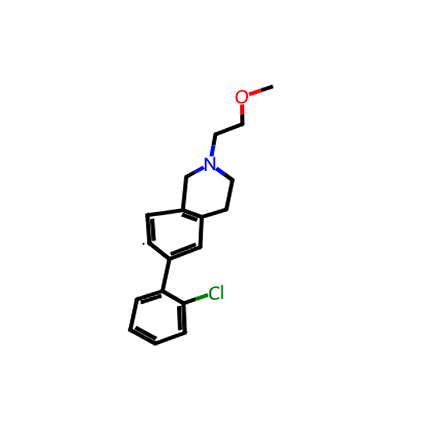 COCCN1CCc2cc(-c3ccccc3Cl)[c]cc2C1